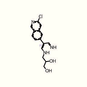 N=C/C(=C\NCC(O)CO)c1ccc2cnc(Cl)cc2c1